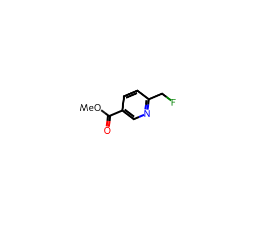 COC(=O)c1ccc(CF)nc1